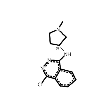 CN1CC[C@@H](Nc2nnc(Cl)c3ccccc23)C1